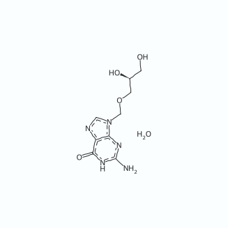 Nc1nc2c(ncn2COC[C@@H](O)CO)c(=O)[nH]1.O